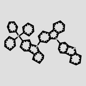 c1ccc([Si](c2ccccc2)(c2ccccc2)c2ccc3c4ccccc4n(-c4ccc5c6ccccc6n(-c6ccc7c(c6)oc6ccccc67)c5c4)c3c2)cc1